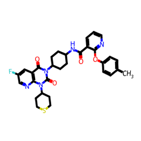 Cc1ccc(Oc2ncccc2C(=O)NC2CCC(n3c(=O)c4cc(F)cnc4n(C4CCSCC4)c3=O)CC2)cc1